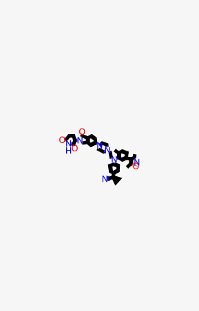 Cc1ccc(-c2c(C)noc2C)cc1N(CCN1CCN(c2ccc3c(c2)CN(C2CCC(=O)NC2=O)C3=O)CC1)c1ccc(C2(C#N)CC2)cc1